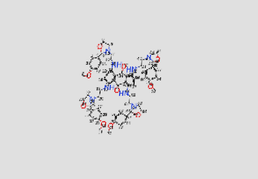 COc1ccc(C2OCCN2CCNc2ccc(NCCN3CCOC3c3ccc(OC)cc3)c3c2C(=O)c2c(NCCN4CCOC4c4ccc(OC)cc4)ccc(NCCN4CCOC4c4ccc(OC)cc4)c2C3=O)cc1